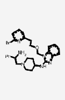 CC(C)C(N)CN1CCC(Nc2nc3ccccc3n2COCCc2cccc(Br)n2)CC1